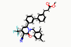 COC(=O)CCc1cccc(-c2cccc(-c3cc(C(F)(F)F)c(C#N)c(=O)n3Cc3ccc(C)cc3C)c2)c1